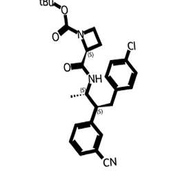 C[C@H](NC(=O)[C@@H]1CCN1C(=O)OC(C)(C)C)[C@@H](Cc1ccc(Cl)cc1)c1cccc(C#N)c1